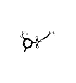 Cc1cc(OC(F)(F)F)cc(S(=O)(=O)CCCN)c1